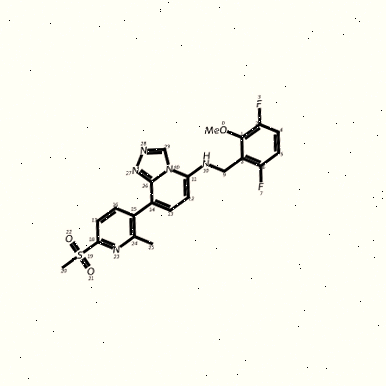 COc1c(F)ccc(F)c1CNc1ccc(-c2ccc(S(C)(=O)=O)nc2C)c2nncn12